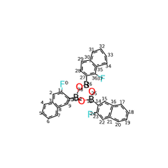 Fc1cc2ccccc2cc1B1OB(c2cc3ccccc3cc2F)OB(c2ccc3ccccc3c2F)O1